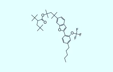 CCCCCc1ccc(-c2cc3ccc(C(C)(C)CC(C)(C)OC(=O)C(CC(C)(C)C)C(C)(C)C)cc3o2)c(OC(F)(F)F)c1